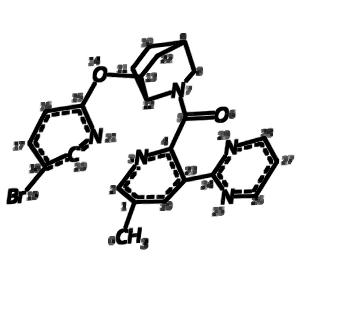 Cc1cnc(C(=O)N2CC3CCC2C(Oc2ccc(Br)cn2)C3)c(-c2ncccn2)c1